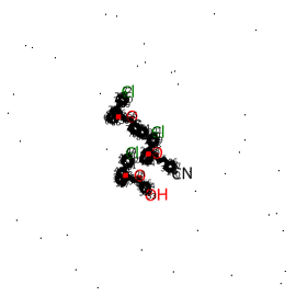 N#Cc1ccc(C=CC(=O)C23CC4CC(C2)CC(c2ccc(Cl)cc2)(C4)C3)cc1.O=C(C=CC12CC3CC(C1)CC(c1ccc(Cl)cc1)(C3)C2)c1ccc(O)cc1.O=C(C=CC12CC3CC(C1)CC(c1ccc(Cl)cc1)(C3)C2)c1ccc2ccccc2c1